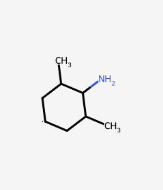 CC1C[CH]CC(C)C1N